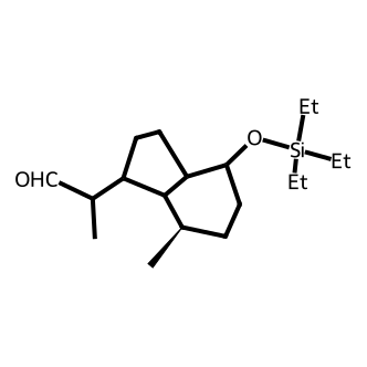 CC[Si](CC)(CC)OC1CC[C@@H](C)C2C(C(C)C=O)CCC12